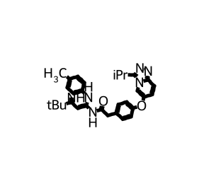 Cc1ccc(N/C(=C\C(=N)C(C)(C)C)NC(=O)Cc2ccc(Oc3ccc4nnc(C(C)C)n4c3)cc2)cc1